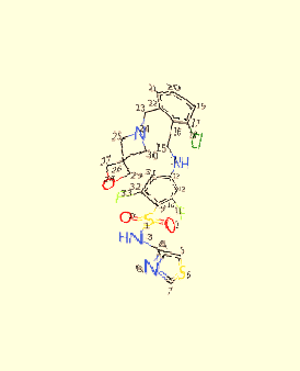 O=S(=O)(Nc1cscn1)c1c(F)cc(NCc2c(Cl)cccc2CN2CC3(COC3)C2)cc1F